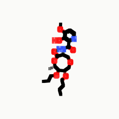 CCCCO[C@H]1COC[C@H](NC(=O)c2nccc(OC)c2O)C(=O)O[C@@H](C)[C@@H]1OCCC